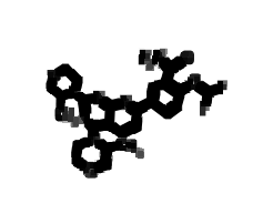 CC1COCCN1c1nc(N2CCOCC2C)c2ccc(-c3ccc(OC(F)F)c(C(N)=O)c3)nc2n1